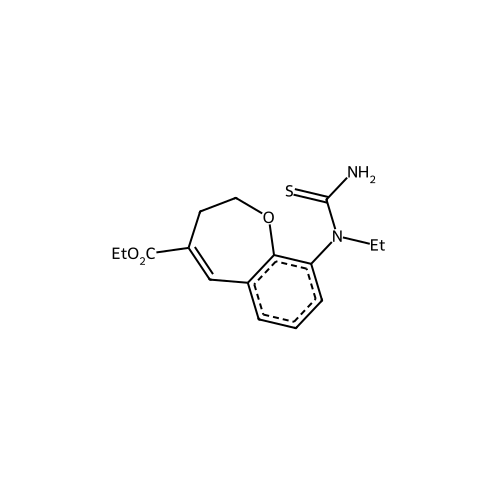 CCOC(=O)C1=Cc2cccc(N(CC)C(N)=S)c2OCC1